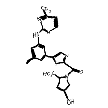 Cc1cc(Nc2nccc(C(F)(F)F)n2)cc(-c2cnc(C(=O)N3CC(O)CC3C(=O)O)s2)c1